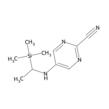 CC(Nc1cnc(C#N)nc1)[Si](C)(C)C